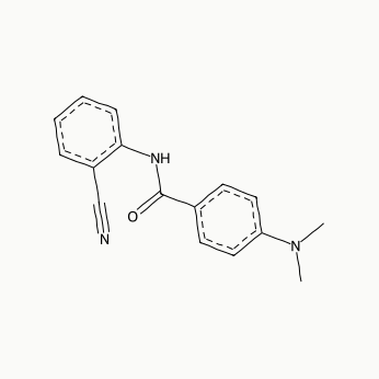 CN(C)c1ccc(C(=O)Nc2ccccc2C#N)cc1